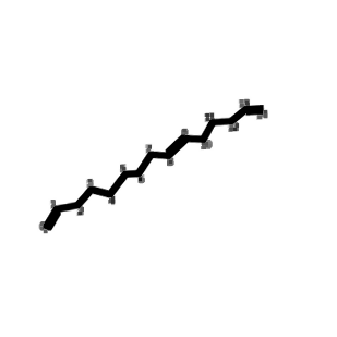 [CH]=CCCCCCCC=CCCCC=C